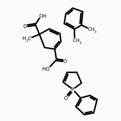 CC1(C(=O)O)C=CC=C(C(=O)O)C1.Cc1ccccc1C.O=P1(c2ccccc2)C=CCC1